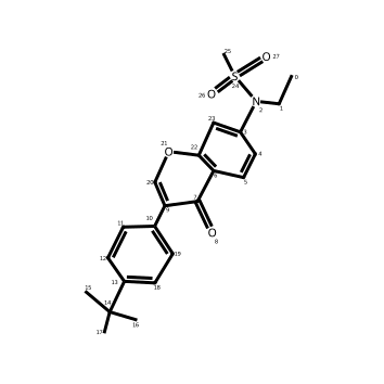 CCN(c1ccc2c(=O)c(-c3ccc(C(C)(C)C)cc3)coc2c1)S(C)(=O)=O